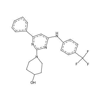 OC1CCN(c2nc(Nc3ccc(C(F)(F)F)cc3)cc(-c3ccccc3)n2)CC1